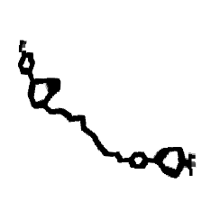 Fc1ccc(-c2ccc(CCCCCCCCCc3ccc(-c4ccc(F)cc4)cc3)cc2)cc1